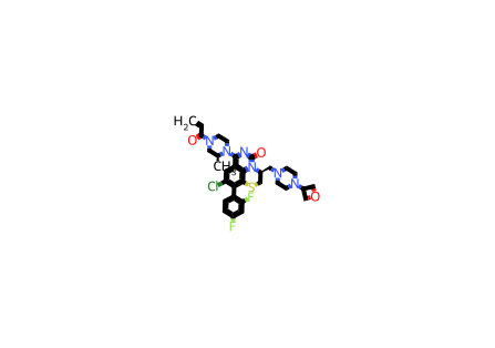 C=CC(=O)N1CCN(c2nc(=O)n3c4c(c(-c5ccc(F)cc5F)c(Cl)cc24)SC[C@@H]3CN2CCN(C3COC3)CC2)[C@@H](C)C1